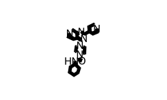 O=C(NC1CCCCC1)N1CCN(c2nc(-c3ccncc3)nc3cnccc23)CC1